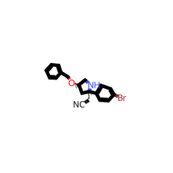 N#CC[C@]1(c2ccc(Br)cc2)C[C@@H](OCc2ccccc2)CN1